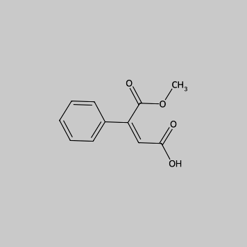 COC(=O)C(=CC(=O)O)c1ccccc1